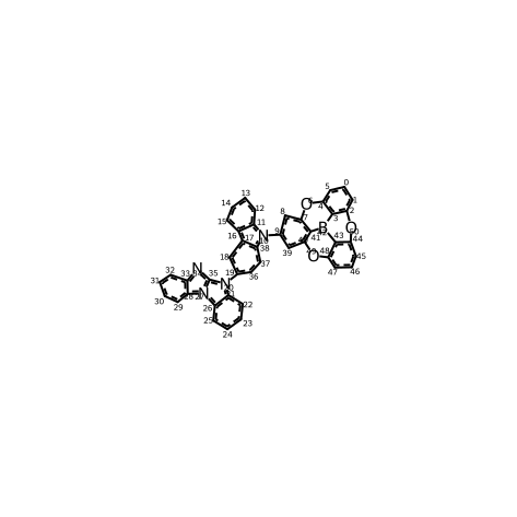 c1cc2c3c(c1)Oc1cc(-n4c5ccccc5c5cc(-n6c7ccccc7n7c8ccccc8nc67)ccc54)cc4c1B3c1c(cccc1O4)O2